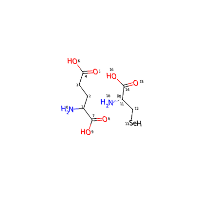 NC(CCC(=O)O)C(=O)O.N[C@@H](C[SeH])C(=O)O